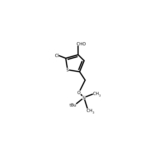 CC(C)(C)[Si](C)(C)OCc1cc(C=O)c(Cl)s1